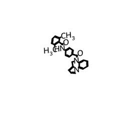 Cc1cccc(C)c1C(=O)Nc1ccc(C(=O)N2Cc3cccn3-c3ccccc32)cc1